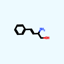 NC(C=Cc1ccccc1)CO